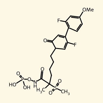 COc1ccc(C2=CC(=O)C(CCCCC(C)(C(=O)NOP(=O)(O)O)S(C)(=O)=O)C=C2F)c(F)c1